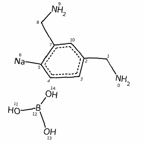 NCc1cc[c]([Na])c(CN)c1.OB(O)O